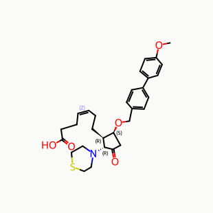 COc1ccc(-c2ccc(CO[C@H]3CC(=O)[C@H](N4CCSCC4)[C@H]3CC/C=C\CCC(=O)O)cc2)cc1